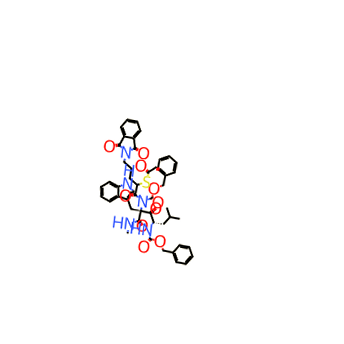 CNC(=O)[C@@](Cc1c[nH]c2ccccc12)(C(=O)[C@H](CC(C)C)NC(=O)OCc1ccccc1)N(C(=O)OCc1ccccc1)C(=O)C(CCCN1C(=O)c2ccccc2C1=O)SC(C)=O